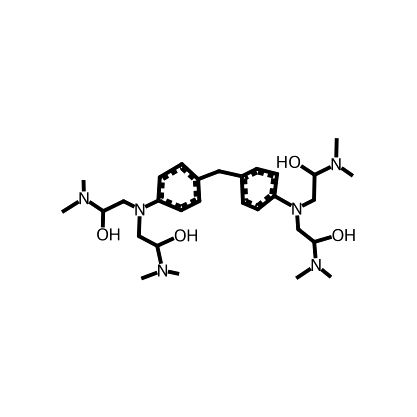 CN(C)C(O)CN(CC(O)N(C)C)c1ccc(Cc2ccc(N(CC(O)N(C)C)CC(O)N(C)C)cc2)cc1